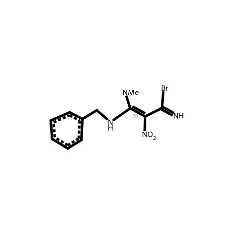 CN/C(NCc1ccccc1)=C(\C(=N)Br)[N+](=O)[O-]